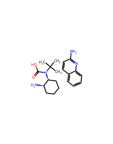 CC(C)(C)N(C(=O)O)[C@H]1CCCC[C@H]1N.Nc1ccc2ccccc2n1